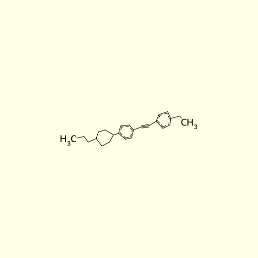 CCCC1CCC(c2ccc(C#Cc3ccc(CC)cc3)cc2)CC1